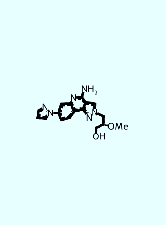 CO[C@@H](CO)Cn1cc2c(N)nc3cc(-n4cccn4)ccc3c2n1